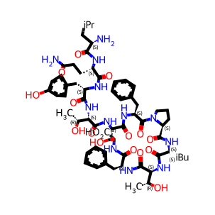 CC[C@H](C)[C@H](NC(=O)[C@@H]1CCCN1C(=O)[C@H](Cc1ccccc1)NC(=O)[C@H](CO)NC(=O)[C@@H](NC(=O)[C@H](Cc1ccc(O)cc1)NC(=O)[C@H](CCC(N)=O)NC(=O)[C@@H](N)CC(C)C)[C@@H](C)O)C(=O)N[C@H](C(=O)N[C@@H](Cc1ccccc1)C(=O)NCC(=O)O)[C@@H](C)O